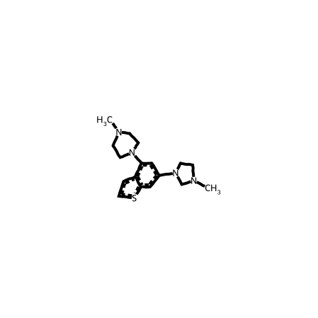 CN1CCN(c2cc(N3CCN(C)C3)cc3sccc23)CC1